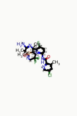 Cc1cc(Cl)cnc1C(=O)Nc1ccc(F)c([C@@]2(C)N=C(N)C(C)(C)[S@@]3(=O)=NCC(F)(F)C[C@H]23)n1